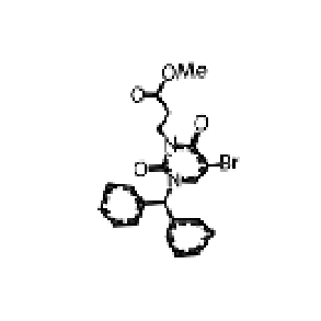 COC(=O)CCn1c(=O)c(Br)cn(C(c2ccccc2)c2ccccc2)c1=O